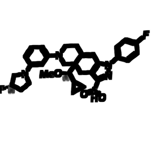 CO[C@H](C1CC1)C12Cc3c([SH](=O)=O)nn(-c4ccc(F)cc4)c3C=C1CCN(c1cccc(N3CC[C@H](F)C3)c1)C2